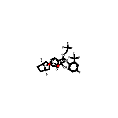 CC(C)(Oc1ccc(F)cc1C(F)(F)F)C(=O)N[C@H]1C[C@H]2CC[C@@H](C1)N2c1ccc(C(=O)NCC(F)(F)F)cn1